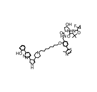 Cc1ncsc1-c1ccc(CNC(=O)[C@@H]2C[C@@H](O)CN2C(=O)[C@@H](NC(=O)C2(F)CC2)C(C)(C)C)c(OCCCCCCCCN2CCC(C3=CNCC3c3ccc(-c4ccccc4O)nn3)CC2)c1